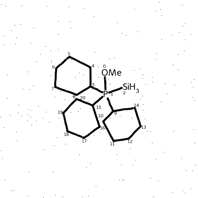 COP([SiH3])(C1CCCCC1)(C1CCCCC1)C1CCCCC1